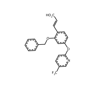 O=C(O)/C=C/c1ccc(Oc2ccc(C(F)(F)F)cn2)cc1OCc1ccccc1